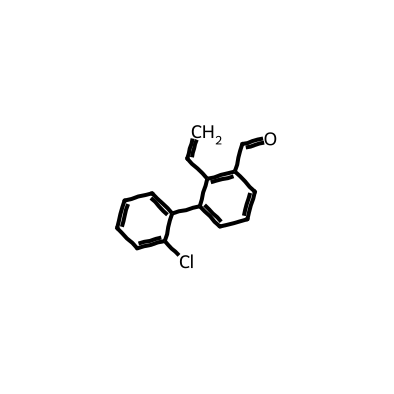 C=Cc1c(C=O)cccc1-c1ccccc1Cl